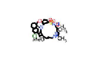 CO[C@H]1/C=C/Cn2nc(cc2C)C(C)(C)C(=O)NS(=O)(=O)c2ccc3c(c2)N(C[C@@H]2CC[C@H]21)C[C@@]1(CCCc2cc(Cl)ccc21)CO3